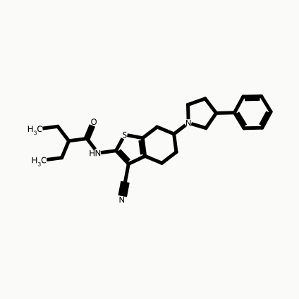 CCC(CC)C(=O)Nc1sc2c(c1C#N)CCC(N1CCC(c3ccccc3)C1)C2